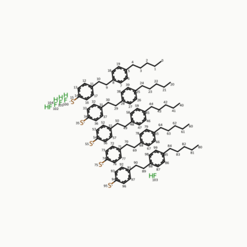 CCCCCc1ccc(CCc2ccc([S])cc2)cc1.CCCCCc1ccc(CCc2ccc([S])cc2)cc1.CCCCCc1ccc(CCc2ccc([S])cc2)cc1.CCCCCc1ccc(CCc2ccc([S])cc2)cc1.CCCCCc1ccc(CCc2ccc([S])cc2)cc1.F.F.F.F.F